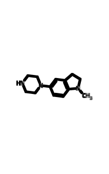 CN1CCc2cc(N3CCNCC3)ccc21